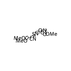 COC(=O)C1CN1CC(=O)OC1CCN(c2ccc(/C=C(\C#N)c3ccc(OC)c(OC)c3)s2)CC1